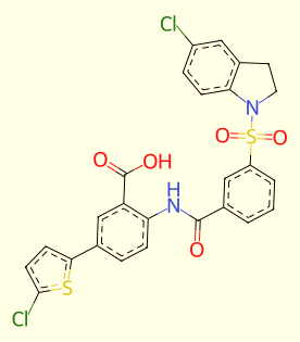 O=C(Nc1ccc(-c2ccc(Cl)s2)cc1C(=O)O)c1cccc(S(=O)(=O)N2CCc3cc(Cl)ccc32)c1